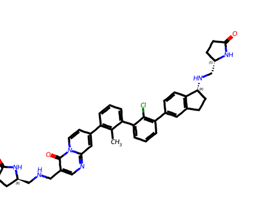 Cc1c(-c2ccn3c(=O)c(CNC[C@H]4CCC(=O)N4)cnc3c2)cccc1-c1cccc(-c2ccc3c(c2)CC[C@H]3NC[C@@H]2CCC(=O)N2)c1Cl